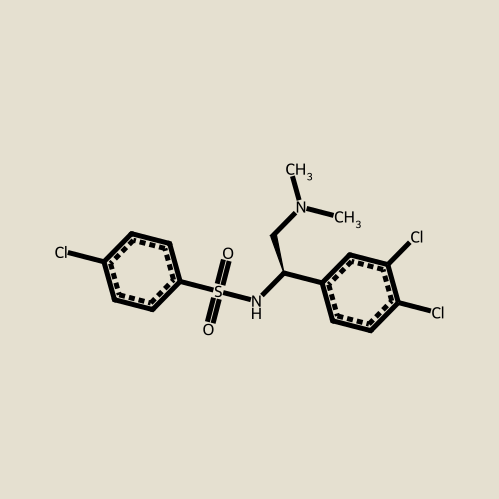 CN(C)C[C@H](NS(=O)(=O)c1ccc(Cl)cc1)c1ccc(Cl)c(Cl)c1